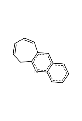 C1=CCc2nc3ccccc3cc2C=C1